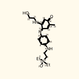 CC[N+]([O-])(CC)CCNc1ccc(/N=C2\C=C(C)C(=O)C=C2NCCO)cc1